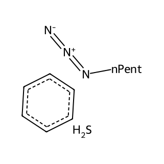 CCCCCN=[N+]=[N-].S.c1ccccc1